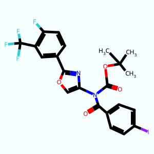 CC(C)(C)OC(=O)N(C(=O)c1ccc(I)cc1)c1coc(-c2ccc(F)c(C(F)(F)F)c2)n1